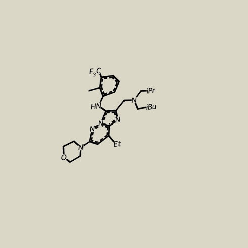 CCc1cc(N2CCOCC2)nn2c(Nc3cccc(C(F)(F)F)c3C)c(CN(CC(C)C)CC(C)CC)nc12